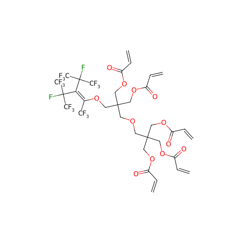 C=CC(=O)OCC(COCC(COC(=O)C=C)(COC(=O)C=C)COC(=C(C(F)(C(F)(F)F)C(F)(F)F)C(F)(C(F)(F)F)C(F)(F)F)C(F)(F)F)(COC(=O)C=C)COC(=O)C=C